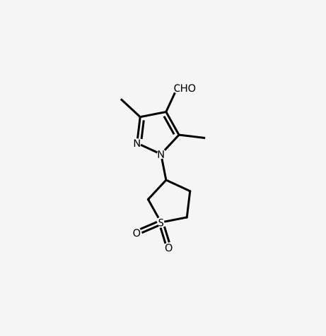 Cc1nn(C2CCS(=O)(=O)C2)c(C)c1C=O